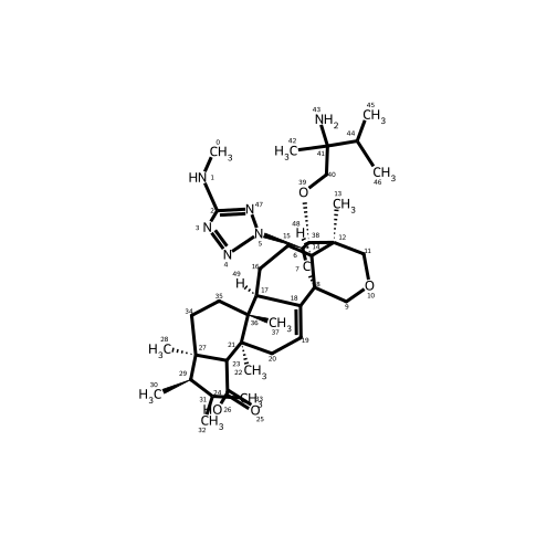 CNc1nnn([C@@H]2C[C@@]34COC[C@@](C)([C@@H]3CC[C@H]3C4=CC[C@@]4(C)C(C(=O)O)[C@@](C)([C@H](C)C(C)C)CC[C@]34C)[C@H]2OCC(C)(N)C(C)C)n1